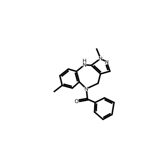 Cc1ccc2c(c1)N(C(=O)c1ccccc1)Cc1cnn(C)c1N2